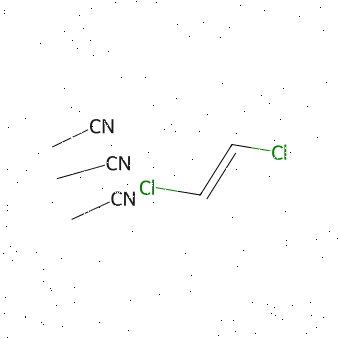 CC#N.CC#N.CC#N.ClC=CCl